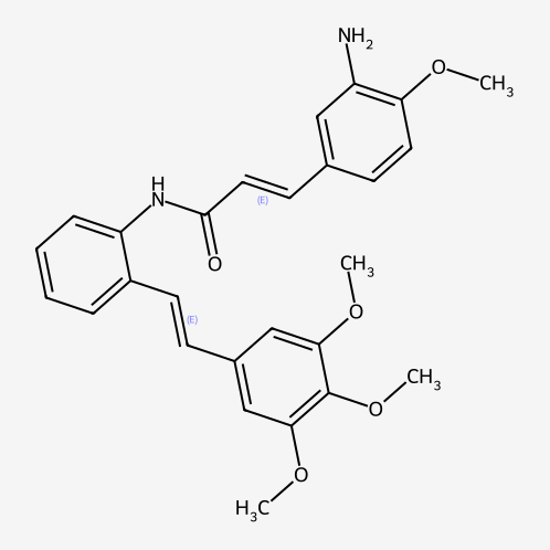 COc1ccc(/C=C/C(=O)Nc2ccccc2/C=C/c2cc(OC)c(OC)c(OC)c2)cc1N